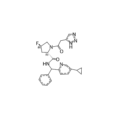 O=C(NC(c1ccccc1)c1ccc(C2CC2)cn1)[C@@H]1C[C@@H](F)CN1C(=O)Cc1cnn[nH]1